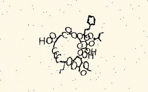 C/C=C(\C)C(=O)OC1C(O)C2OC(COC(=O)CCC(=O)[C@@H](O)CCCCC[C@H](CCC)OC3OC(C)C(OC(C)=O)C(O)C3O2)C1OC(=O)/C=C/c1ccccc1